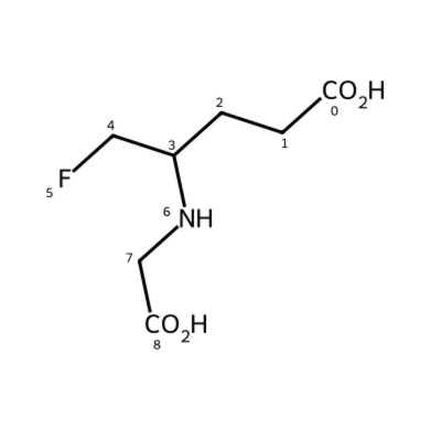 O=C(O)CCC(CF)NCC(=O)O